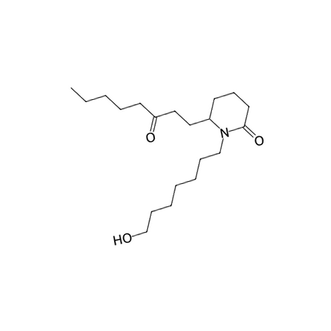 CCCCCC(=O)CCC1CCCC(=O)N1CCCCCCCO